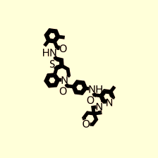 Cc1cnc(N2CC3(CCOCC3)C2)c(C(=O)Nc2ccc(C(=O)N3CCc4cc(NC(=O)c5c(C)cccc5C)sc4-c4ccccc43)cc2)c1